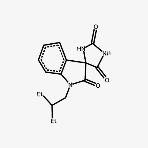 CCC(CC)CN1C(=O)C2(NC(=O)NC2=O)c2ccccc21